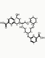 O=C(O)c1cccc(CN(CCO)CCO[C@@H]2CCCC[C@H]2OCCN(CCO)Cc2cccc(C(=O)O)n2)n1